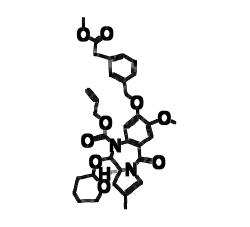 C=CCOC(=O)N1c2cc(OCc3cccc(CC(=O)OC)c3)c(OC)cc2C(=O)N2C=C(C)C[C@H]2C1OC1CCCCO1